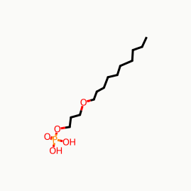 CCCCCCCCCCOCCCOP(=O)(O)O